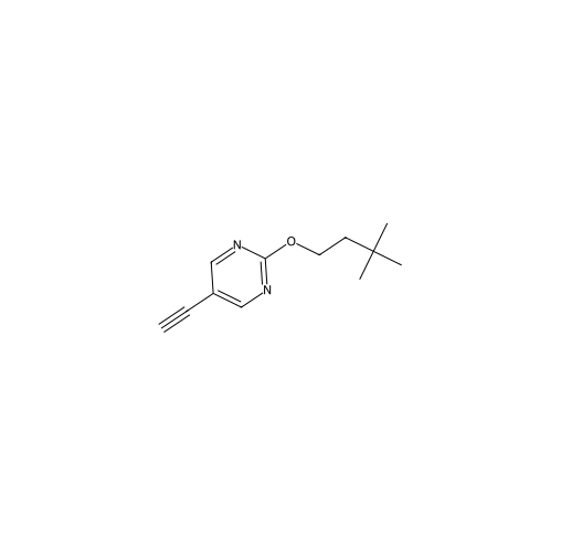 C#Cc1cnc(OCCC(C)(C)C)nc1